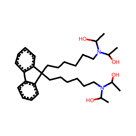 CC(O)N(CCCCCCC1(CCCCCCN(C(C)O)C(C)O)c2ccccc2-c2ccccc21)C(C)O